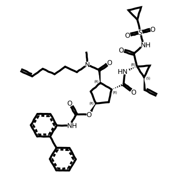 C=CCCCCN(C)C(=O)[C@@H]1C[C@H](OC(=O)Nc2ccccc2-c2ccccc2)C[C@H]1C(=O)N[C@]1(C(=O)NS(=O)(=O)C2CC2)C[C@H]1C=C